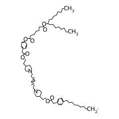 [CH2]CCCCCCCCc1ccc(CC(=O)OCCC2CCN(CCSSCCN3CCC(CCOC(=O)Cc4ccc(OC(=O)CCCCCC(=O)OC(CCCCCCCC)CCCCCCCC)cc4)CC3)CC2)cc1